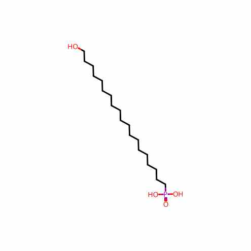 O=P(O)(O)CCCCCCCCCCCCCCCCCCCO